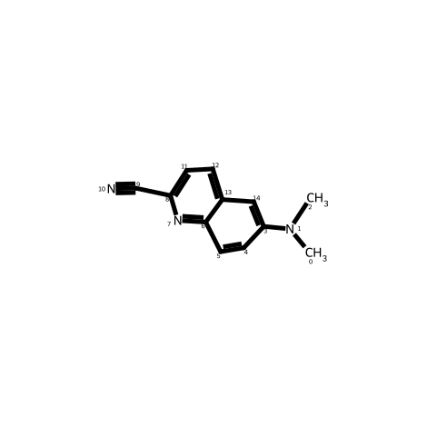 CN(C)c1ccc2nc(C#N)ccc2c1